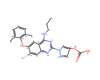 CCCNc1nc(-n2cc(OC(=O)O)cn2)nc2cc(F)c(Oc3c(C)cccc3C)cc12